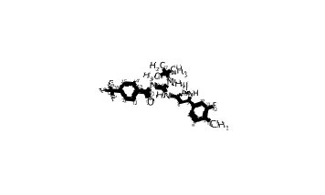 Cc1ccc(C2CC(N/C(=N\C(=O)c3ccc(C(F)(F)F)cc3)NC(C)(C)C)NN2)cc1F